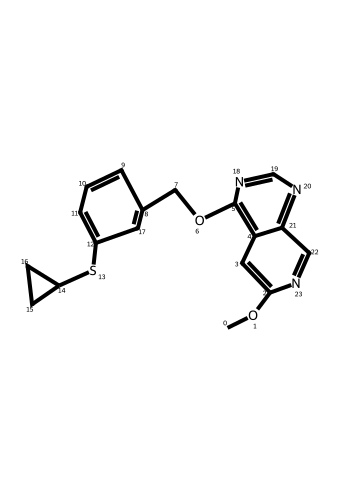 COc1cc2c(OCc3cccc(SC4CC4)c3)ncnc2cn1